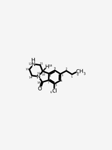 CCCc1cc(Cl)c2c(c1)[C@H]1CNCCN1C2=O